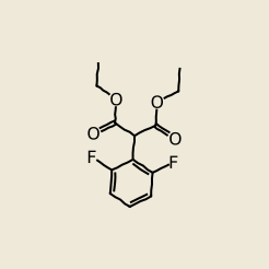 CCOC(=O)C(C(=O)OCC)c1c(F)cccc1F